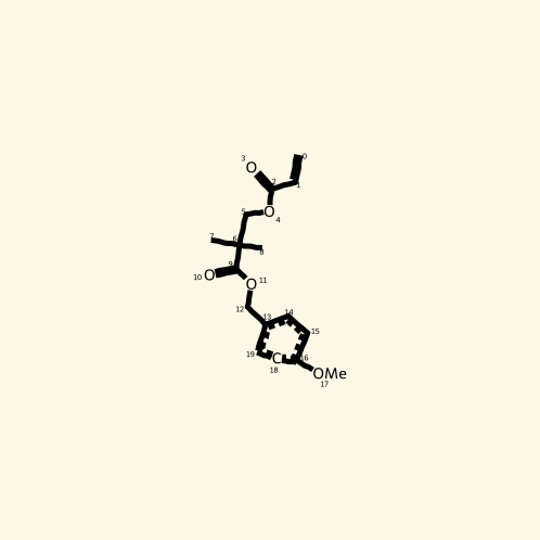 C=CC(=O)OCC(C)(C)C(=O)OCc1ccc(OC)cc1